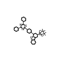 CC1(C)OB(c2cc(-c3ccc(-c4nc(-c5ccccc5)nc(-c5ccccc5)n4)cc3)c3sc4ccccc4c3c2)OC1(C)C